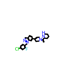 C=C(C1CCCCN1)N1CC=C(c2ccc3cnn(Cc4ccc(Cl)cc4F)c3c2)CC1